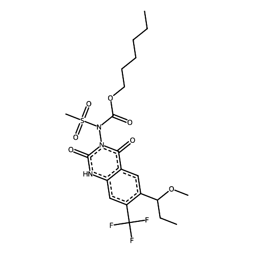 CCCCCCOC(=O)N(n1c(=O)[nH]c2cc(C(F)(F)F)c(C(CC)OC)cc2c1=O)S(C)(=O)=O